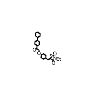 CCN1C(=O)S/C(=C\c2ccc(OCC(=O)c3ccc(-c4ccccc4)cc3)cc2)C1=O